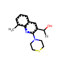 CCC(O)c1cc2cccc(C)c2nc1N1CCSCC1